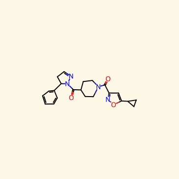 O=C(c1cc(C2CC2)on1)N1CCC(C(=O)N2N=CCC2c2ccccc2)CC1